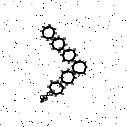 C1=C\CCCCCC/1.C1=C\CCCCCC/1.C1=C\CCCCCC/1.C1=C\CCCCCC/1.C1=C\CCCCCC/1.C1=C\CCCCCC/1.[Cl-].[Cl-].[Cl-].[In+3]